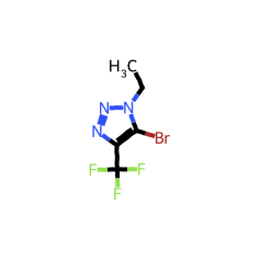 CCn1nnc(C(F)(F)F)c1Br